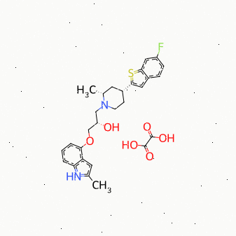 Cc1cc2c(OC[C@@H](O)CN3CC[C@@H](c4cc5ccc(F)cc5s4)C[C@H]3C)cccc2[nH]1.O=C(O)C(=O)O